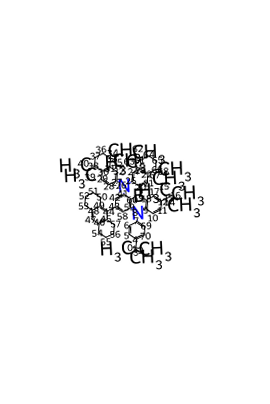 CC(C)(C)c1ccc(N2c3ccc(C(C)(C)C)cc3B3c4cc5c(cc4N(c4ccc6c(c4)C(C)(C)CCC6(C)C)c4cc(-c6c7c(cc8c6CCCC8)CCCC7)cc2c43)C(C)(C)CCC5(C)C)cc1